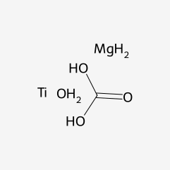 O.O=C(O)O.[MgH2].[Ti]